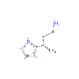 CC(CCN)c1nccs1